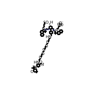 Cc1nn(-c2ccc(C(=O)N(C)C)c(NCCCOCCOCCOCCOCCOCCCNCc3ccc(C4=C(/C=C/C5=[N+](CCCCS(=O)(=O)[O-])c6c(ccc7ccccc67)C5(C)C)CCC/C4=C\C=C4\N(CCCCS(=O)(=O)O)c5ccc6ccccc6c5C4(C)C)cc3)c2)c2c1C(=O)CC(C)(C)C2